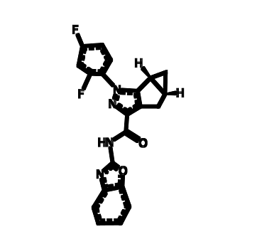 O=C(Nc1nc2ccccc2o1)c1nn(-c2ccc(F)cc2F)c2c1C[C@H]1C[C@@H]21